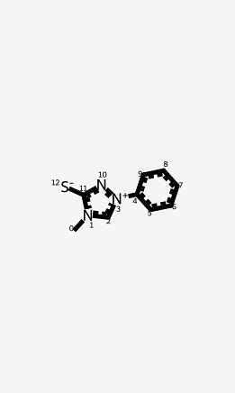 Cn1c[n+](-c2ccccc2)nc1[S-]